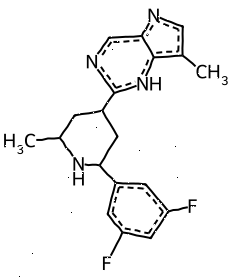 Cc1cnc2cnc(C3CC(C)NC(c4cc(F)cc(F)c4)C3)[nH]c1-2